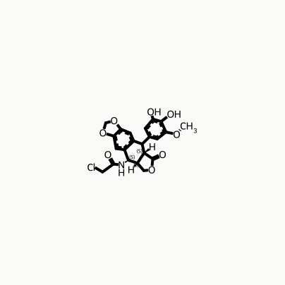 COc1cc(C2c3cc4c(cc3[C@@H](NC(=O)CCl)[C@H]3COC(=O)[C@@H]23)OCO4)cc(O)c1O